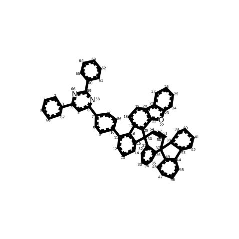 c1ccc(-c2cc(-c3ccc(-c4cccc5c4-c4ccc6c(oc7ccccc76)c4C54c5ccccc5C5(c6ccccc6-c6ccccc65)c5ccccc54)cc3)nc(-c3ccccc3)n2)cc1